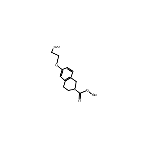 COCCOc1ccc2c(c1)CCN(C(=O)OC(C)(C)C)C2